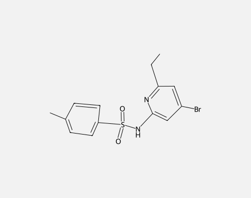 CCc1cc(Br)cc(NS(=O)(=O)c2ccc(C)cc2)n1